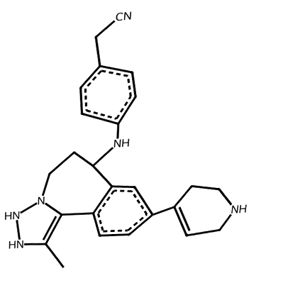 CC1=C2c3ccc(C4=CCNCC4)cc3C(Nc3ccc(CC#N)cc3)CCN2NN1